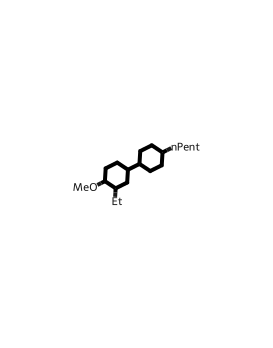 CCCCCC1CCC(C2CCC(OC)C(CC)C2)CC1